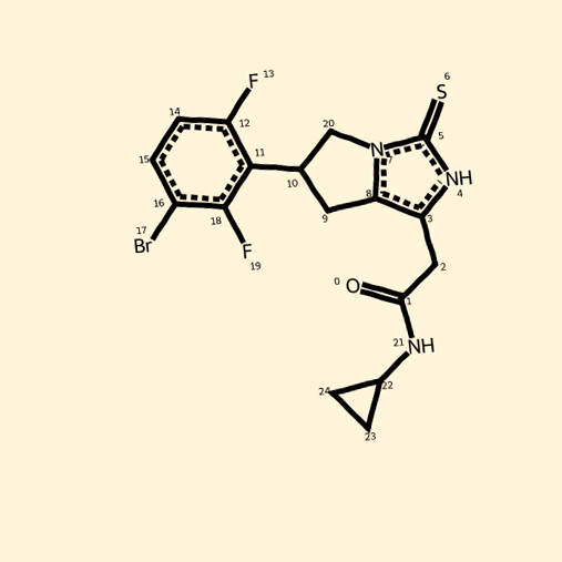 O=C(Cc1[nH]c(=S)n2c1CC(c1c(F)ccc(Br)c1F)C2)NC1CC1